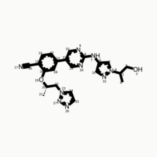 CC(CO)n1cc(Nc2ncc(-c3ccc(C#N)c(O[C@@H](C)Cn4ccnn4)c3)cn2)cn1